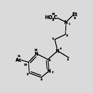 CCN(CCN(C)c1nccc(C(C)=O)n1)C(=O)O